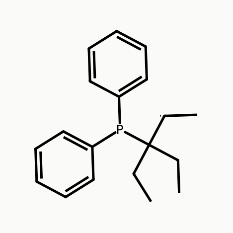 C[CH]C(CC)(CC)P(c1ccccc1)c1ccccc1